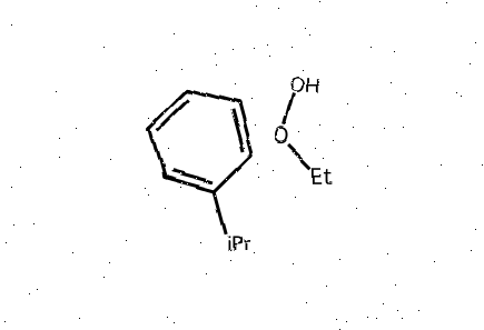 CC(C)c1ccccc1.CCOO